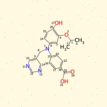 CC(C)Oc1cc(N(Cc2cncnc2)c2ccc(C(=O)O)cc2)ccc1O